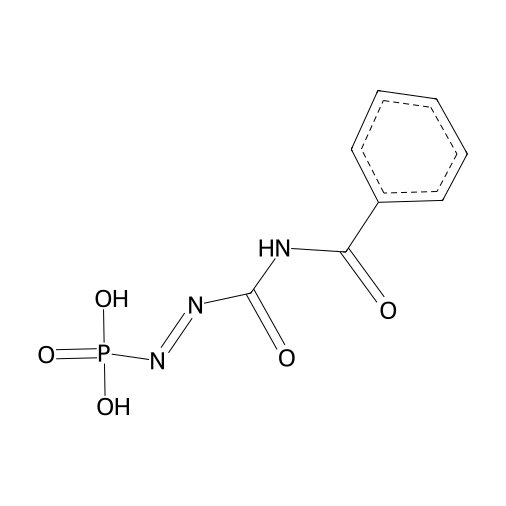 O=C(N=NP(=O)(O)O)NC(=O)c1ccccc1